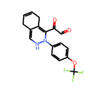 O=CC(=O)C1=C2CC=CCC2=CNN1c1ccc(OC(F)(F)F)cc1